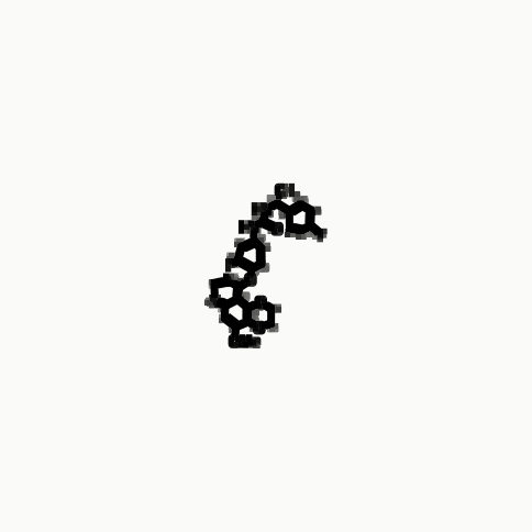 COc1cc2ncnc(Oc3ccc(NC(=O)N[C@H](C)c4ccc(F)cc4)cc3F)c2c2c1OCCO2